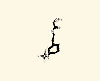 COCC(=O)NCCc1cccc(NS(C)(=O)=O)c1